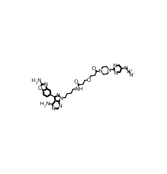 [N-]=[N+]=Nc1cnc(N2CCN(C(=O)CCOCCC(=O)NCCCCn3nc(-c4ccc5oc(N)nc5c4)c4c(N)ncnc43)CC2)nc1